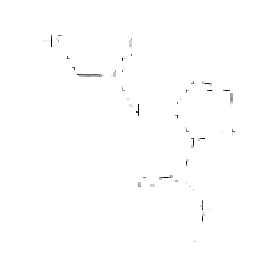 COC(=O)C1SC=CC1NC(=O)CS